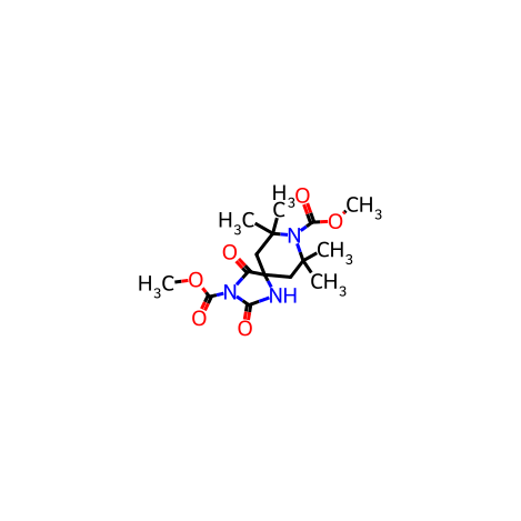 COC(=O)N1C(=O)NC2(CC(C)(C)N(C(=O)OC)C(C)(C)C2)C1=O